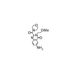 COCCn1c(C(=O)N2CCOCC2)nc2ccc(N)cc2c1=O